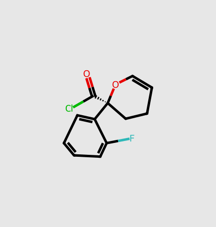 O=C(Cl)[C@@]1(c2ccccc2F)CCC=CO1